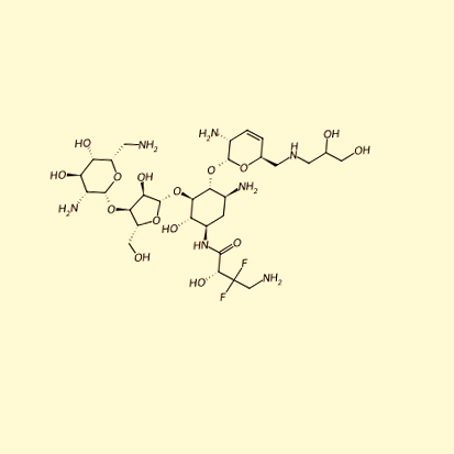 NC[C@@H]1O[C@H](O[C@H]2[C@@H](O)[C@H](O[C@@H]3[C@@H](O)[C@H](NC(=O)[C@@H](O)C(F)(F)CN)C[C@H](N)[C@H]3O[C@H]3O[C@H](CNCC(O)CO)C=C[C@H]3N)O[C@@H]2CO)[C@H](N)[C@@H](O)[C@@H]1O